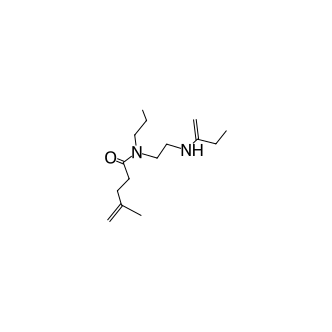 C=C(C)CCC(=O)N(CCC)CCNC(=C)CC